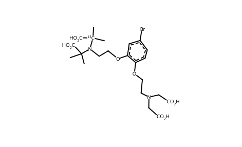 CC(C)(C(=O)O)N(CCOc1cc(Br)ccc1OCCN(C[13C](=O)O)C[13C](=O)O)[13C](C)(C)[13C](=O)O